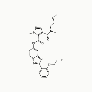 COCCN(C)C(=O)c1cnn(C)c1C(=O)Nc1ccn2nc(-c3ccccc3OCCF)nc2c1